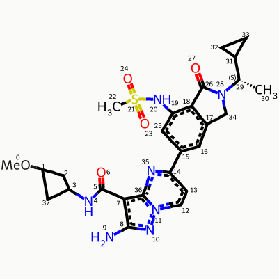 COC1CC(NC(=O)c2c(N)nn3ccc(-c4cc5c(c(NS(C)(=O)=O)c4)C(=O)N([C@@H](C)C4CC4)C5)nc23)C1